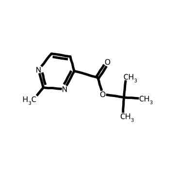 Cc1nccc(C(=O)OC(C)(C)C)n1